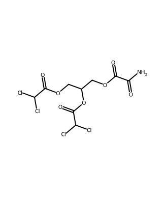 NC(=O)C(=O)OCC(COC(=O)C(Cl)Cl)OC(=O)C(Cl)Cl